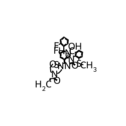 C=CC(=O)N1CCOSN(c2nc(=O)n(-c3c(C)cccc3SC)c3nc(-c4c(O)cccc4F)c(F)cc23)CC1